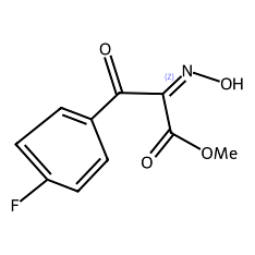 COC(=O)/C(=N\O)C(=O)c1ccc(F)cc1